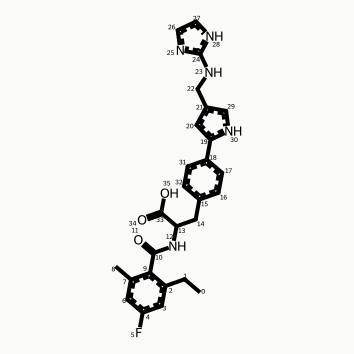 CCc1cc(F)cc(C)c1C(=O)NC(Cc1ccc(-c2cc(CNc3ncc[nH]3)c[nH]2)cc1)C(=O)O